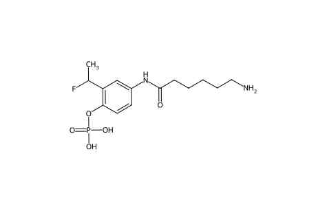 CC(F)c1cc(NC(=O)CCCCCN)ccc1OP(=O)(O)O